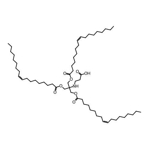 CCCCCCCC/C=C\CCCCCCCC(=O)OCC(COC(=O)CCCCCCC/C=C\CCCCCCCC)(COC(=O)CCCCCCC/C=C\CCCCCCCC)NCCC(=O)O